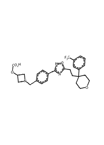 O=C(O)OC1CN(Cc2ccc(-c3noc(CCC4(c5cccc(C(F)(F)F)c5)CCOCC4)n3)cc2)C1